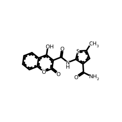 Cc1cc(C(N)=O)c(NC(=O)c2c(O)c3ccccc3oc2=O)s1